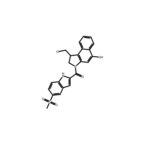 CS(=O)(=O)c1ccc2[nH]c(C(=O)N3CC(CCl)c4c3cc(O)c3ccccc43)cc2c1